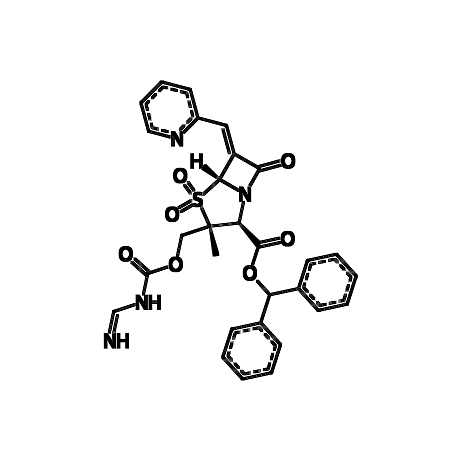 C[C@]1(COC(=O)NC=N)[C@H](C(=O)OC(c2ccccc2)c2ccccc2)N2C(=O)/C(=C/c3ccccn3)[C@H]2S1(=O)=O